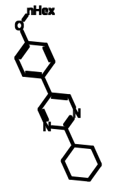 CCCCCCOc1ccc(-c2cnc(C3CCCCC3)nc2)cc1